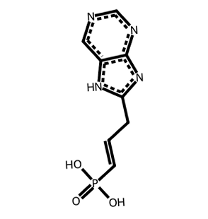 O=P(O)(O)C=CCc1nc2ncncc2[nH]1